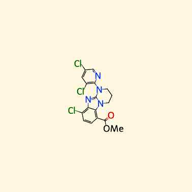 COC(=O)c1ccc(Cl)c2nc3n(c12)CCCN3c1ncc(Cl)cc1Cl